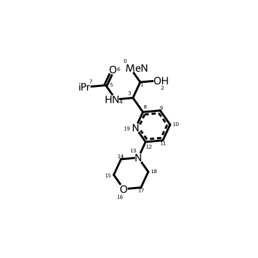 CNC(O)C(NC(=O)C(C)C)c1cccc(N2CCOCC2)n1